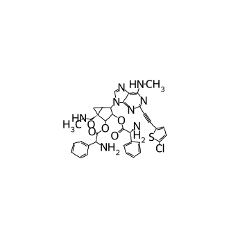 CNC(=O)[C@@]12CC1C(n1cnc3c(NC)nc(C#Cc4ccc(Cl)s4)nc31)C(OC(=O)[C@@H](N)c1ccccc1)C2OC(=O)C(N)c1ccccc1